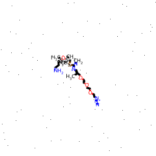 C=N/C(=N\C=C(/C)COCCOCCOCCN=[N+]=[N-])SC[Si](C)(C)O[Si](C)(C)CCCN